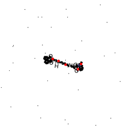 C=C/C=C1/C(=O)N(CCCNCCCCCCCCNCCCN2C(=O)c3cccc4cccc(c34)C2=O)C(=O)c2cccc(C)c21